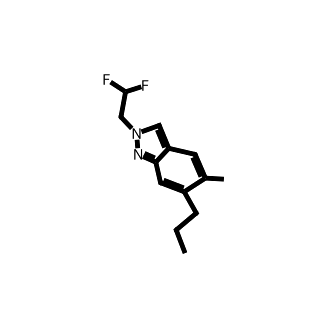 CCCc1cc2nn(CC(F)F)cc2cc1C